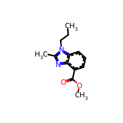 CCCn1c(C)nc2c(C(=O)OC)cccc21